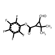 CC1(C)C(C=O)C1C(=O)Oc1c(F)c(F)c(F)c(F)c1F